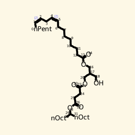 CCCCC/C=C\C/C=C\CCCCCCCC(=O)OCC(CO)COC(=O)CCC(=O)OC(CCCCCCCC)CCCCCCCC